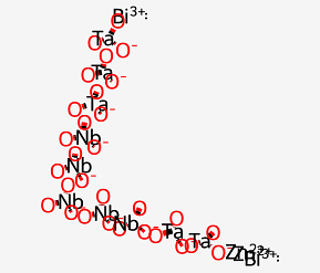 [Bi+3].[Bi+3].[O]=[Nb](=[O])[O-].[O]=[Nb](=[O])[O-].[O]=[Nb](=[O])[O-].[O]=[Nb](=[O])[O-].[O]=[Nb](=[O])[O-].[O]=[Ta](=[O])[O-].[O]=[Ta](=[O])[O-].[O]=[Ta](=[O])[O-].[O]=[Ta](=[O])[O-].[O]=[Ta](=[O])[O-].[Zn+2].[Zn+2]